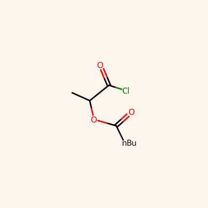 CCCCC(=O)OC(C)C(=O)Cl